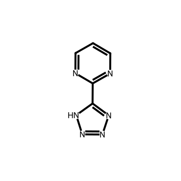 c1cnc(-c2nnn[nH]2)nc1